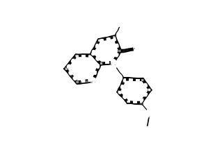 COc1ccc(-n2c(=O)c(C)cc3cccnc32)cc1